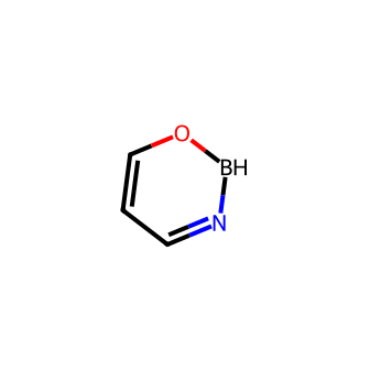 B1N=CC=CO1